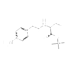 CCC(NCCc1ccc(N)cc1)C(=O)OC(C)(C)C